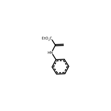 C=C(Nc1ccccc1)C(=O)OCC